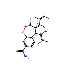 C=C1OOc2cc(C(=C)N)ccc2C(C(C(C)=O)=C(C)C)/C1=C(C)/C(C)=C\C